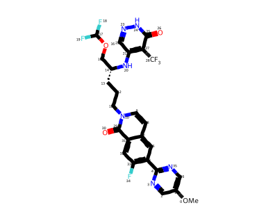 COc1cnc(-c2cc3ccn(CCC[C@H](COC(F)F)Nc4cn[nH]c(=O)c4C(F)(F)F)c(=O)c3cc2F)nc1